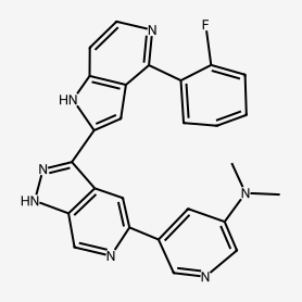 CN(C)c1cncc(-c2cc3c(-c4cc5c(-c6ccccc6F)nccc5[nH]4)n[nH]c3cn2)c1